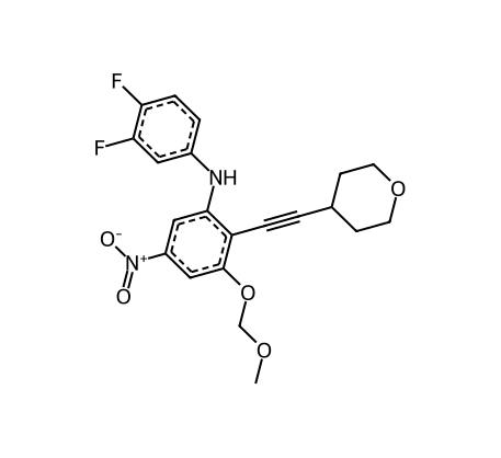 COCOc1cc([N+](=O)[O-])cc(Nc2ccc(F)c(F)c2)c1C#CC1CCOCC1